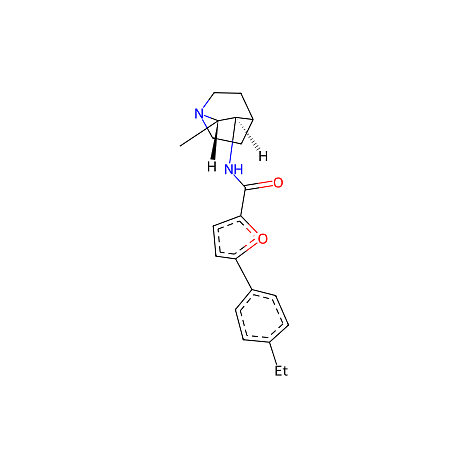 CCc1ccc(-c2ccc(C(=O)N[C@@H]3C4CCN(CC4)[C@H]3C)o2)cc1